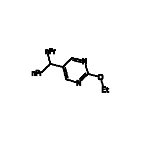 CCCC(CCC)c1cnc(OCC)nc1